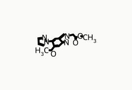 COC(=O)Cn1cc2cc(-n3cccn3)c(C(C)=O)cc2n1